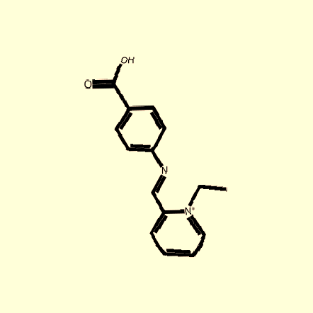 CC[n+]1ccccc1C=Nc1ccc(C(=O)O)cc1